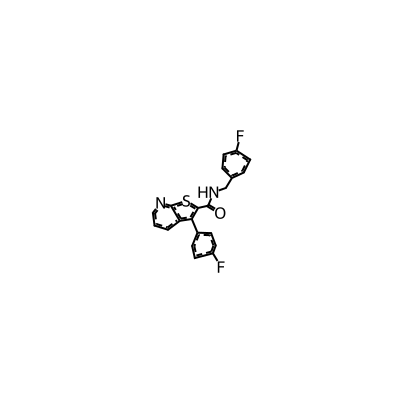 O=C(NCc1ccc(F)cc1)c1sc2ncccc2c1-c1ccc(F)cc1